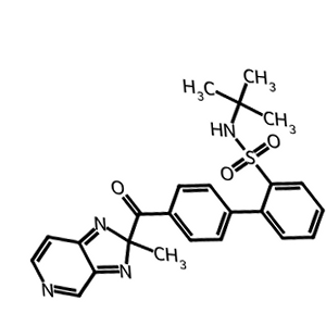 CC(C)(C)NS(=O)(=O)c1ccccc1-c1ccc(C(=O)C2(C)N=c3ccncc3=N2)cc1